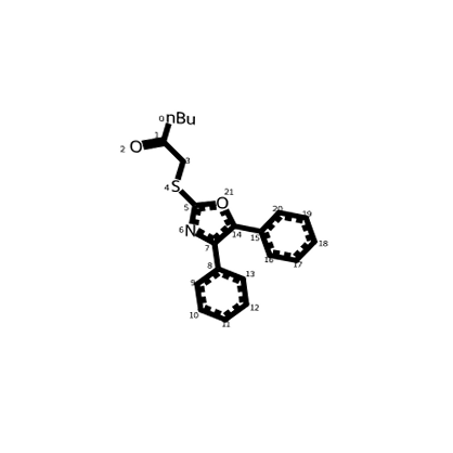 CCCCC(=O)CSc1nc(-c2ccccc2)c(-c2ccccc2)o1